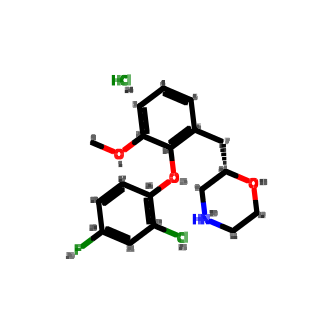 COc1cccc(C[C@H]2CNCCO2)c1Oc1ccc(F)cc1Cl.Cl